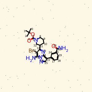 CC(C)(C)OC(=O)N1CCCC(c2nc3c(-c4cccc(C(N)=O)c4)cnn3c(N)c2Br)C1